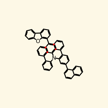 c1ccc(-c2ccccc2N(c2ccc(-c3cccc4c3oc3ccccc34)cc2)c2cc(-c3cccc4ccccc34)ccc2-c2ccccc2)cc1